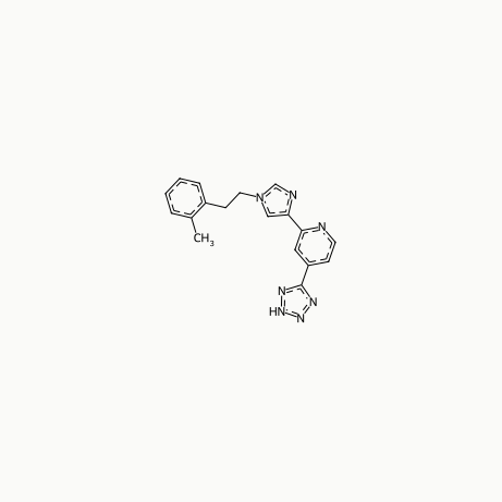 Cc1ccccc1CCn1cnc(-c2cc(-c3nn[nH]n3)ccn2)c1